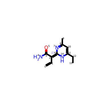 C=C/C(C(N)=O)=C1/N=C(C)C=C(CC)N1